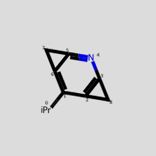 CC(C)c1c2c(nc3c1C3)C2